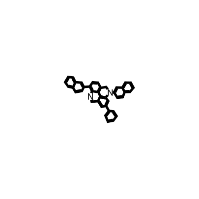 c1ccc(-c2cc3c4c(cnc5c(-c6ccc7ccccc7c6)ccc(c54)CN3c3ccc4ccccc4c3)c2)cc1